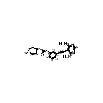 CN1CCC(NC(=O)Nc2cccc(C#Cc3c(N)ncnc3N)c2)CC1